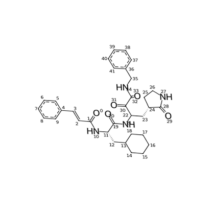 O=C(/C=C/c1ccccc1)N[C@@H](CC1CCCCC1)C(=O)NC(C[C@@H]1CCNC1=O)C(=O)C(=O)NCc1ccccc1